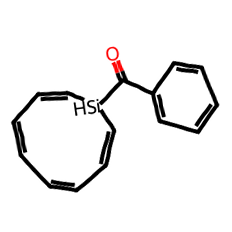 O=C(c1ccccc1)[SiH]1C=CC=CC=CC=C1